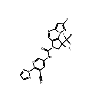 CC1(C(F)(F)F)CN(C(=O)Nc2cnc(-n3nccn3)c(C#N)c2)c2cnc3cc(F)nn3c21